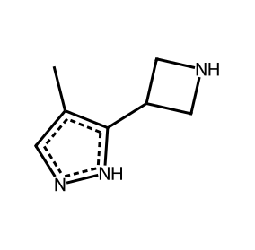 Cc1cn[nH]c1C1CNC1